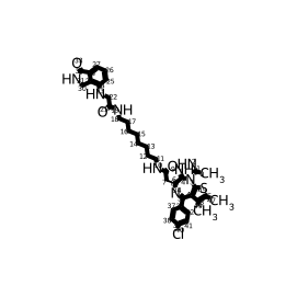 CC(=N)N1C(=N)[C@H](CC(=O)NCCCCCCCCNC(=O)CNc2cccc3c2CNC3=O)N=C(c2ccc(Cl)cc2)c2c1sc(C)c2C